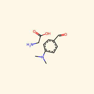 CN(C)c1ccc(C=O)cc1.NCC(=O)O